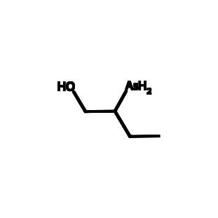 CCC([AsH2])CO